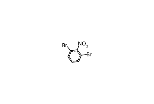 O=[N+]([O-])c1c(Br)cccc1Br